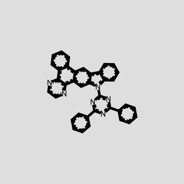 c1ccc(-c2nc(-c3ccccc3)nc(-n3c4ccccc4c4cc5c6ccccc6c6nccnc6c5cc43)n2)cc1